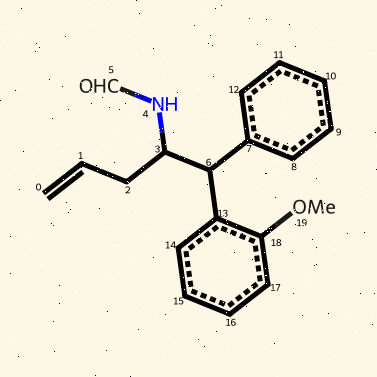 C=CCC(NC=O)C(c1ccccc1)c1ccccc1OC